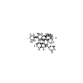 Cc1ccc(-c2ccccc2)cc1-c1n(-c2cccc3ccccc23)c2cc(-c3ccccc3)ccc2[n+]1C